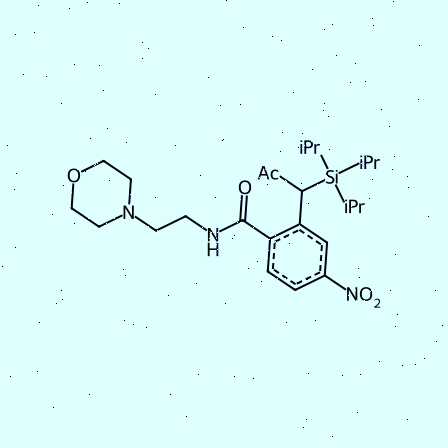 CC(=O)C(c1cc([N+](=O)[O-])ccc1C(=O)NCCN1CCOCC1)[Si](C(C)C)(C(C)C)C(C)C